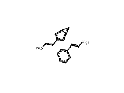 O=S(=O)(O)C=Cc1cc2cc-2c1.O=S(=O)(O)C=Cc1ccccc1